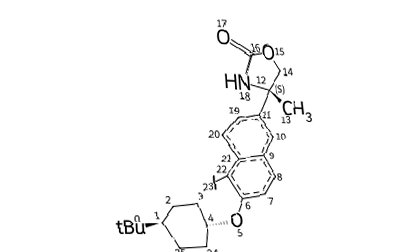 CC(C)(C)[C@H]1CC[C@H](Oc2ccc3cc([C@@]4(C)COC(=O)N4)ccc3c2I)CC1